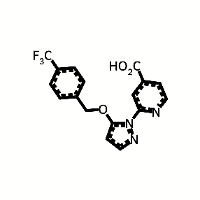 O=C(O)c1ccnc(-n2nccc2OCc2ccc(C(F)(F)F)cc2)c1